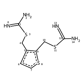 N=C(N)SCc1ccsc1CSC(=N)N